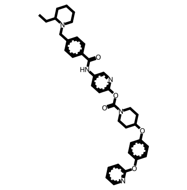 CCC1CCCCN1Cc1ccc(C(=O)Nc2ccc(OC(=O)N3CCC(Oc4ccc(Oc5ccccn5)cc4)CC3)nc2)cc1